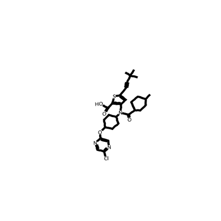 CC1CCC(C(=O)N(c2cc(C#CC(C)(C)C)sc2C(=O)O)C2CCC(Oc3cnc(Cl)cn3)CC2)CC1